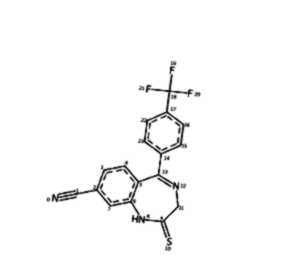 N#Cc1ccc2c(c1)NC(=S)CN=C2c1ccc(C(F)(F)F)cc1